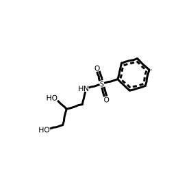 O=S(=O)(NCC(O)CO)c1cc[c]cc1